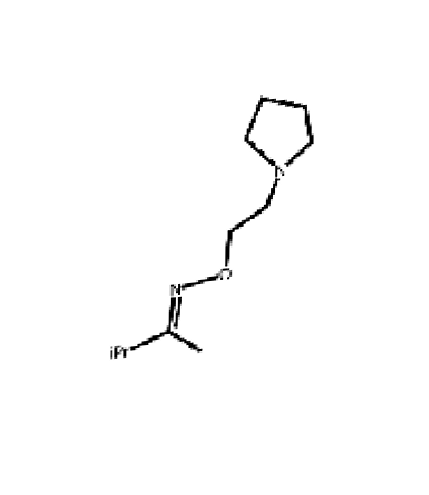 C/C(=N\OCCN1CCCC1)C(C)C